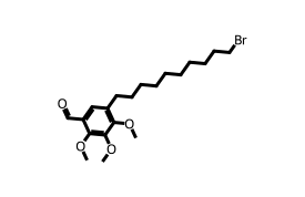 COc1c(C=O)cc(CCCCCCCCCCBr)c(OC)c1OC